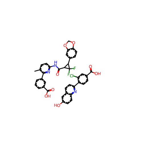 Cc1ccc(NC(=O)C2C(c3ccc4c(c3)OCO4)C2(F)F)nc1-c1cccc(C(=O)O)c1.O=C(O)c1ccc(-c2ccc3cc(O)ccc3n2)c(Cl)c1